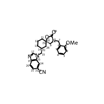 COc1ccccc1CN1C[C@@]2(CCC[C@H](Cn3cnc4ccc(C#N)cc43)C2)OC1=O